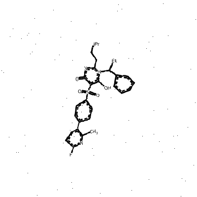 CCC(c1ccccc1)n1c(CCC(C)C)nc(=O)c(S(=O)(=O)c2ccc(-c3ccc(F)nc3C)cc2)c1O